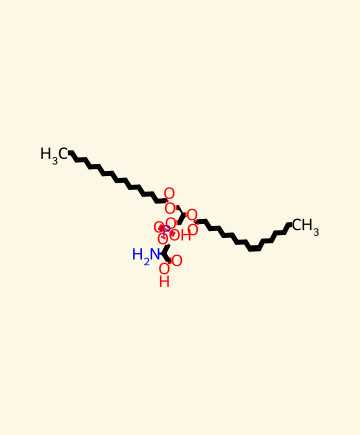 CCCCCC/C=C\CCCCCCCC(=O)O[C@H](COC(=O)CCCCCCCCCCCCCCC)COP(=O)(O)OC[C@H](N)C(=O)O